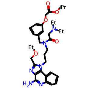 CCOCc1nc2c(N)nc3ccccc3c2n1CCCN(Cc1cccc(OCC(=O)OC(C)C)c1)C(=O)CN(CC)CC